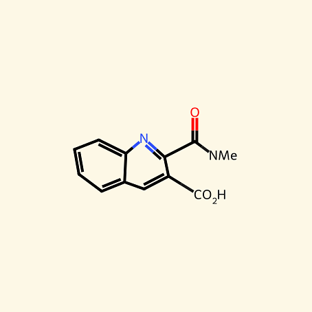 CNC(=O)c1nc2ccccc2cc1C(=O)O